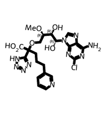 CO[C@H](COC(CCCc1cccnc1)(C(=O)O)c1nnn[nH]1)[C@@H](O)[C@@H](O)n1cnc2c(N)nc(Cl)nc21